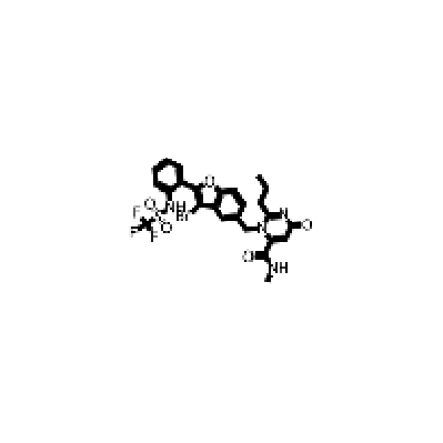 CCCc1nc(=O)cc(C(=O)NC)n1Cc1ccc2oc(-c3ccccc3NS(=O)(=O)C(F)(F)F)c(Br)c2c1